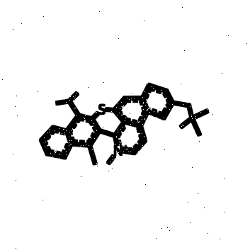 Cc1c2c(c(C(C)C)c3ccccc13)Sc1cc3ccc(CC(C)(C)C)cc3c3cc[n+](C)c-2c13